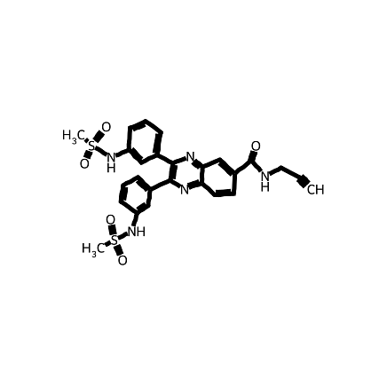 C#CCNC(=O)c1ccc2nc(-c3cccc(NS(C)(=O)=O)c3)c(-c3cccc(NS(C)(=O)=O)c3)nc2c1